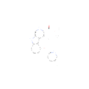 COCc1c(C(=O)OC(C)C)ncc2[nH]c3cccc(Oc4ccc(Cl)cn4)c3c12